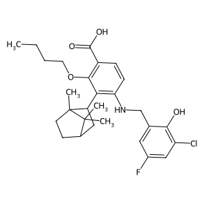 CCCCOc1c(C(=O)O)ccc(NCc2cc(F)cc(Cl)c2O)c1C1CC2CCC1(C)C2(C)C